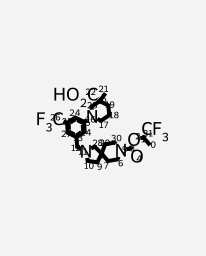 CC(OC(=O)N1CCC2(CCN(Cc3cc(N4CCCC(C)(C(=O)O)C4)cc(C(F)(F)F)c3)C2)CC1)C(F)(F)F